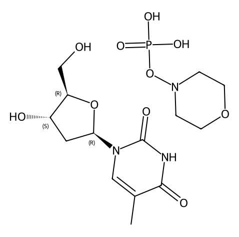 Cc1cn([C@H]2C[C@H](O)[C@@H](CO)O2)c(=O)[nH]c1=O.O=P(O)(O)ON1CCOCC1